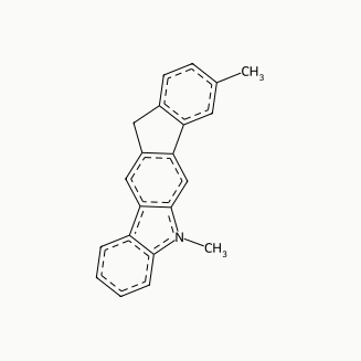 Cc1ccc2c(c1)-c1cc3c(cc1C2)c1ccccc1n3C